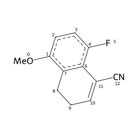 COc1ccc(F)c2c1CCC=C2C#N